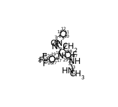 C=C1C(c2noc(Cc3ccccc3)n2)=CN(Cc2ccc(C(F)(F)F)cc2)c2cc(NCCNC)c(F)cc21